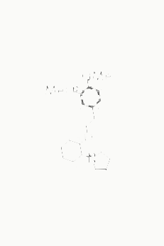 COc1ccc(CCO[C@H]2CCCC[C@@H]2N2C[CH]CC2)cc1OC